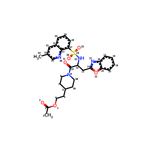 CC(=O)OCCC1CCN(C(=O)C(Cc2nc3ccccc3o2)NS(=O)(=O)c2cccc3cc(C)cnc23)CC1